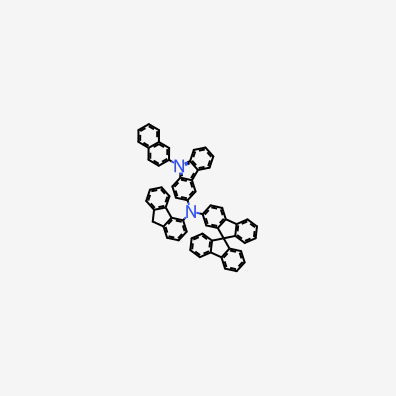 c1ccc2c(c1)Cc1cccc(N(c3ccc4c(c3)C3(c5ccccc5-c5ccccc53)c3ccccc3-4)c3ccc4c(c3)c3ccccc3n4-c3ccc4ccccc4c3)c1-2